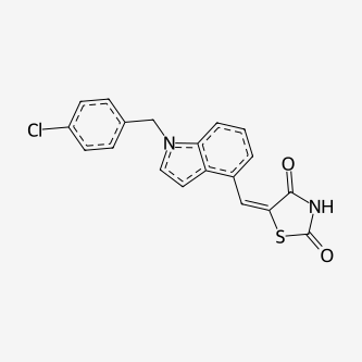 O=C1NC(=O)C(=Cc2cccc3c2ccn3Cc2ccc(Cl)cc2)S1